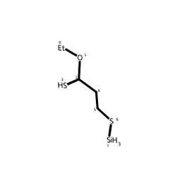 CCOC(S)CCS[SiH3]